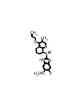 C=CCOc1c(C)cnc2c1CCCC2[S+]([O-])c1nc2cc(F)c(OC)cc2[nH]1